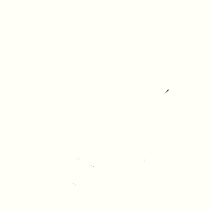 Cc1ncn(-c2ccc(-c3c(C(F)(F)F)ccc4c3CC[C@H]4Oc3ccc4c(c3)OC[C@H]4CC(=O)O)cc2)n1